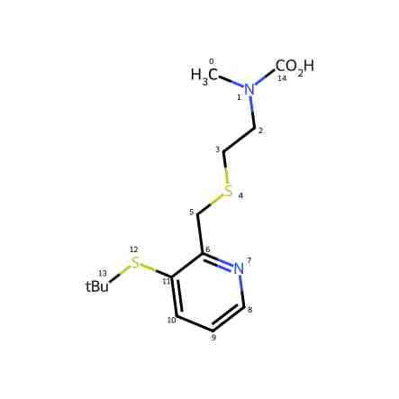 CN(CCSCc1ncccc1SC(C)(C)C)C(=O)O